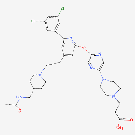 CC(=O)NCC1CCN(CCc2cc(Oc3cnc(N4CCN(CCC(=O)O)CC4)cn3)nc(-c3cc(Cl)cc(Cl)c3)c2)CC1